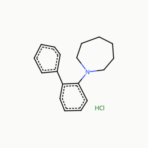 Cl.c1ccc(-c2ccccc2N2CCCCCC2)cc1